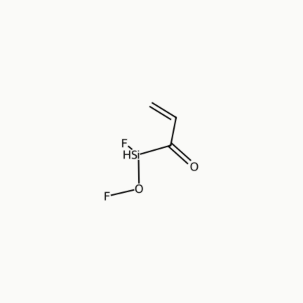 C=CC(=O)[SiH](F)OF